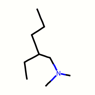 CCCC(CC)CN(C)C